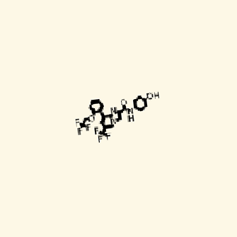 O=C(N[C@H]1CC[C@H](O)CC1)c1cn2cc(C(F)(F)F)cc(-c3ccccc3OCC(F)(F)F)c2n1